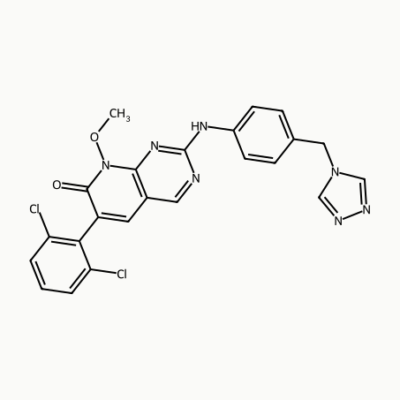 COn1c(=O)c(-c2c(Cl)cccc2Cl)cc2cnc(Nc3ccc(Cn4cnnc4)cc3)nc21